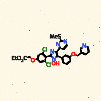 CCOC(=O)COc1cc(Cl)c(-c2nc(-c3ccnc(SC)n3)c(-c3cccc(OCc4cccnc4)c3)n2O)c(Cl)c1